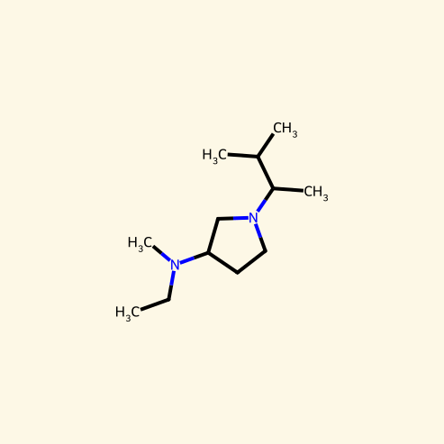 CCN(C)C1CCN(C(C)C(C)C)C1